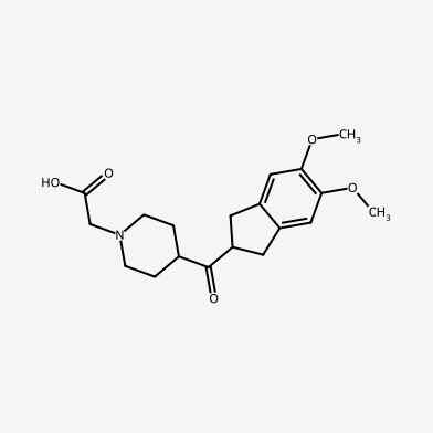 COc1cc2c(cc1OC)CC(C(=O)C1CCN(CC(=O)O)CC1)C2